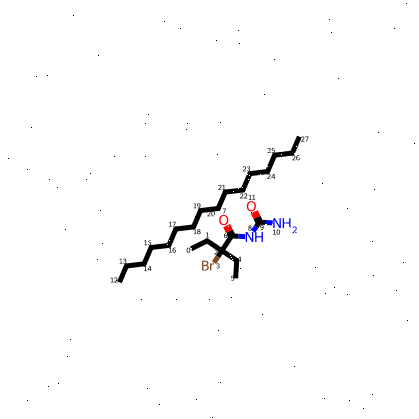 CCC(Br)(CC)C(=O)NC(N)=O.CCCCCCCCCCCCCCCC